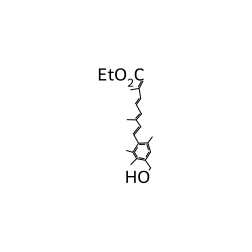 CCOC(=O)/C=C(C)/C=C/C=C(C)/C=C/c1c(C)cc(CO)c(C)c1C